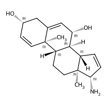 C[C@]12CC[C@H]3[C@@H]([C@@H](O)C=C4C[C@@H](O)C=C[C@@]43C)[C@@H]1C=C[C@@H]2N